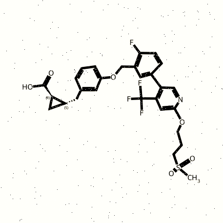 CS(=O)(=O)CCCOc1cc(C(F)(F)F)c(-c2ccc(F)c(COc3cccc(C[C@@H]4C[C@H]4C(=O)O)c3)c2)cn1